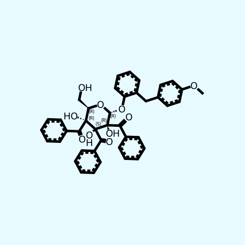 COc1ccc(Cc2ccccc2O[C@H]2O[C@H](CO)[C@](O)(C(=O)c3ccccc3)[C@@](O)(C(=O)c3ccccc3)[C@]2(O)C(=O)c2ccccc2)cc1